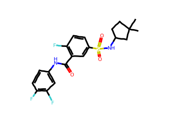 CC1(C)CCC(NS(=O)(=O)c2ccc(F)c(C(=O)Nc3ccc(F)c(F)c3)c2)C1